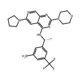 C[C@@H](Nc1nc(N2CCOCC2)nc2cnc(N3CCCC3)cc12)c1cc(N)cc(C(F)(F)F)c1